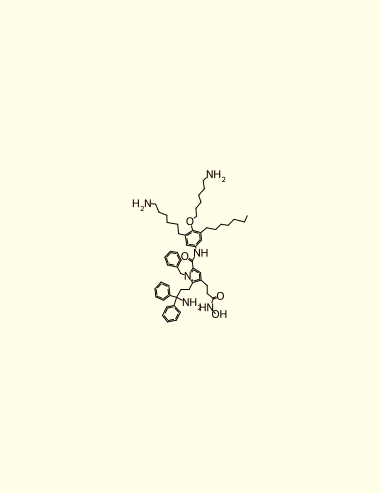 CCCCCCCc1cc(NC(=O)c2cc(CCC(=O)NO)c(CCC(N)(c3ccccc3)c3ccccc3)n2Cc2ccccc2)cc(CCCCCCN)c1OCCCCCCN